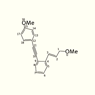 COCC=Cc1ccccc1C#Cc1ccc(OC)cc1